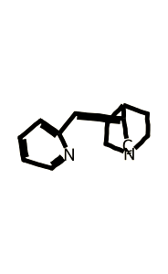 C(=C1/CN2CCC1CC2)/c1ccccn1